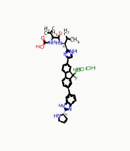 CC(C)[C@H](NC(=O)O)C(=O)N[C@H](c1nc(-c2ccc3c(c2)C(F)(F)c2cc(-c4ccc5nc([C@@H]6CCCN6)[nH]c5c4)ccc2-3)c[nH]1)C(C)C.Cl.Cl.Cl